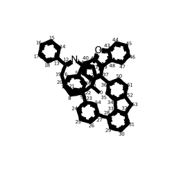 CC1C/C=C(c2ccccc2)/N=C(/c2ccccc2)CC/C=C\1c1cccc(-c2cccc3c2-c2cc(-c4cccc5oc6ccccc6c45)ccc2C3)c1